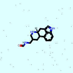 O=CNCC1CN[C@@H]2Cc3c[nH]c4cccc(c34)C2C1